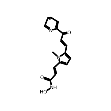 Cn1c(/C=C/C(=O)NO)ccc1/C=C/C(=O)c1ccccn1